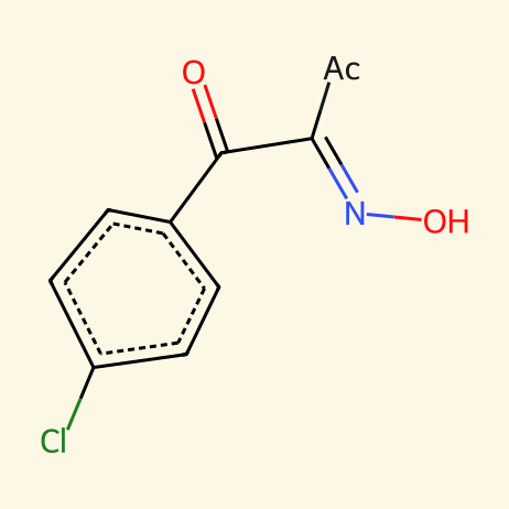 CC(=O)C(=NO)C(=O)c1ccc(Cl)cc1